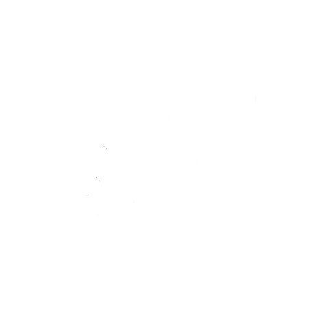 CCOC(=O)c1c(-c2ccc(F)cc2)oc2cc(NS(C)(=O)=O)c(C(C)N(C)C(=O)CCl)cc12